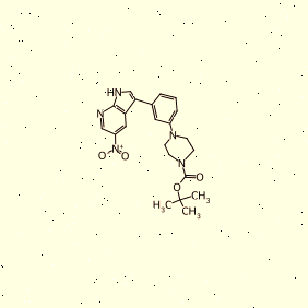 CC(C)(C)OC(=O)N1CCN(c2cccc(-c3c[nH]c4ncc([N+](=O)[O-])cc34)c2)CC1